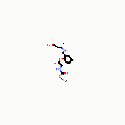 C[C@@H](CCO)NCc1cc(F)ccc1O[C@@H](C)CNC(=O)OC(C)(C)C